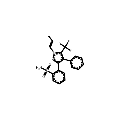 CC=Cn1nc(-c2ccccc2S(N)(=O)=O)c(-c2ccccc2)c1C(F)(F)F